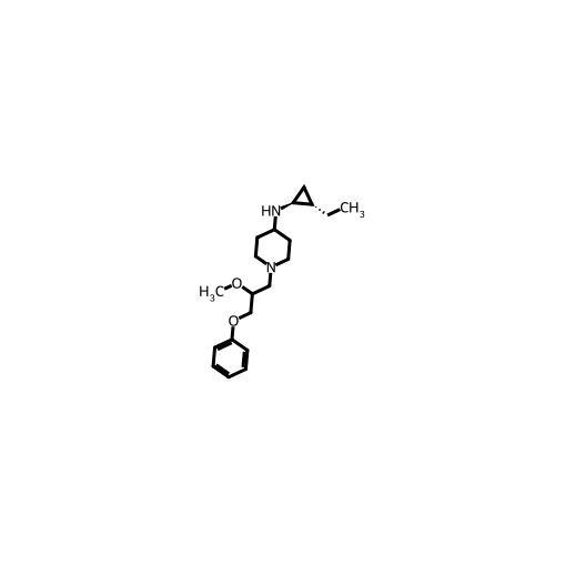 CC[C@H]1C[C@@H]1NC1CCN(CC(COc2ccccc2)OC)CC1